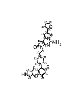 Nc1nc2c(sc(=O)n2CCN2CCN(c3cc(O[C@H]4CNC[C@@H]4F)c(F)cc3F)CC2)c2cc(-c3ccco3)nn12